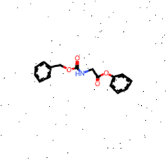 O=C(CNC(=O)OCc1ccccc1)Oc1ccccc1